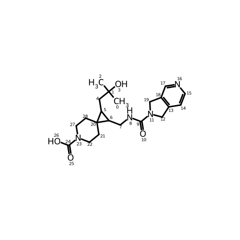 CC(C)(O)CC1C(CNC(=O)N2Cc3ccncc3C2)C12CCN(C(=O)O)CC2